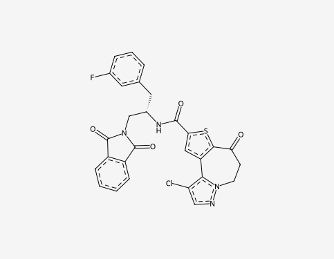 O=C(N[C@@H](Cc1cccc(F)c1)CN1C(=O)c2ccccc2C1=O)c1cc2c(s1)C(=O)CCn1ncc(Cl)c1-2